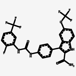 NC(=O)c1[nH]c2ccc(OC(F)(F)F)cc2c1-c1ccc(NC(=O)Nc2cc(C(F)(F)F)ccc2F)cc1